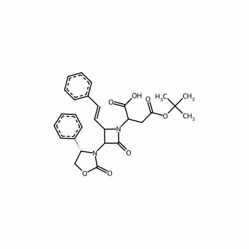 CC(C)(C)OC(=O)CC(C(=O)O)N1C(=O)C(N2C(=O)OC[C@@H]2c2ccccc2)C1C=Cc1ccccc1